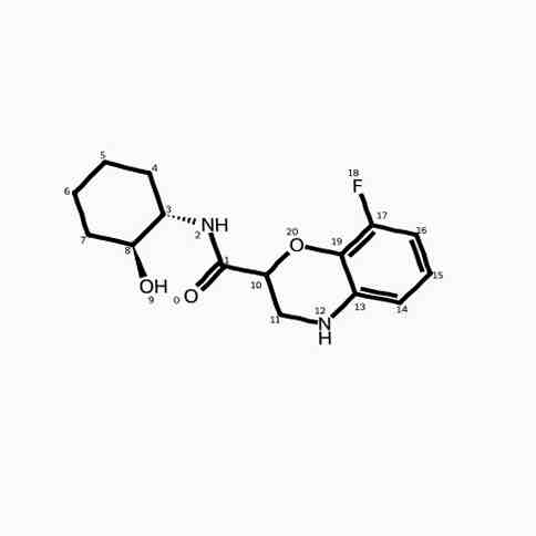 O=C(N[C@H]1CCCC[C@@H]1O)C1CNc2cccc(F)c2O1